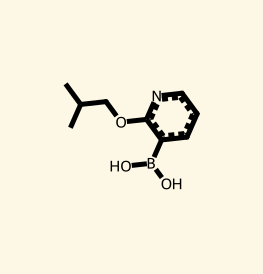 CC(C)COc1ncccc1B(O)O